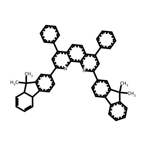 CC1(C)c2ccccc2-c2ccc(-c3cc(-c4ccccc4)c4ccc5c(-c6ccccc6)cc(-c6ccc7c(c6)C(C)(C)C6C=CC=CC76)nc5c4n3)cc21